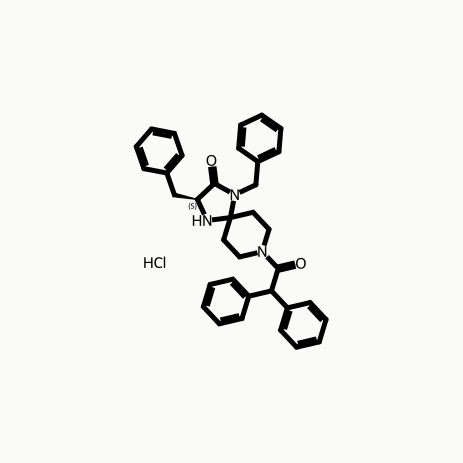 Cl.O=C(C(c1ccccc1)c1ccccc1)N1CCC2(CC1)N[C@@H](Cc1ccccc1)C(=O)N2Cc1ccccc1